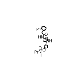 CC(C)NC(=O)O[C@@H]1CC[C@H](c2cc(NC(=O)Cc3ccccc3C(C)C)n[nH]2)C1